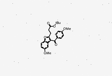 COc1ccc(C(=O)c2c(CCC(=O)OC(C)(C)C)oc3ccc(OC)cc23)cc1